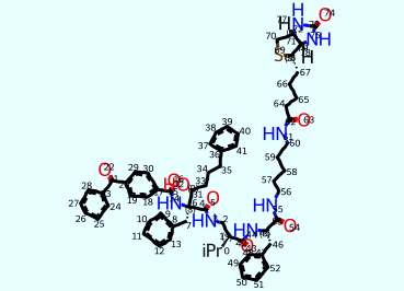 CC(C)[C@@H](CNC(=O)[C@@](Cc1ccccc1)(NC(=O)c1ccc(C(=O)c2ccccc2)cc1)[C@H](O)CCCc1ccccc1)C(=O)N[C@@H](Cc1ccccc1)C(=O)NCCCCCNC(=O)CCCC[C@@H]1SC[C@@H]2NC(=O)N[C@@H]21